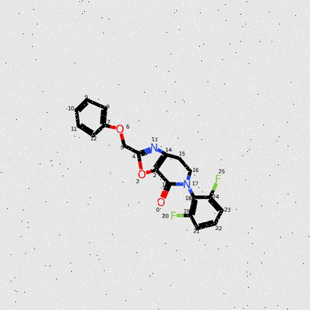 O=C1c2oc(COc3ccccc3)nc2CCN1c1c(F)cccc1F